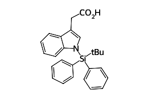 CC(C)(C)[Si](c1ccccc1)(c1ccccc1)n1cc(CC(=O)O)c2ccccc21